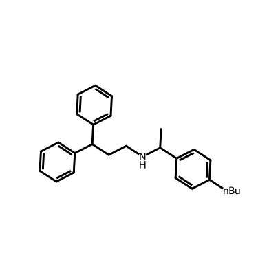 CCCCc1ccc(C(C)NCCC(c2ccccc2)c2ccccc2)cc1